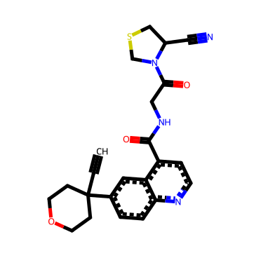 C#CC1(c2ccc3nccc(C(=O)NCC(=O)N4CSCC4C#N)c3c2)CCOCC1